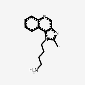 [CH2]c1nc2cnc3ccccc3c2n1CCCCN